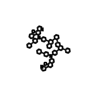 c1ccc(-c2ccc(N(c3ccc(-c4cc(-c5ccccc5)cc5cc(-c6ccccc6-c6cc(-c7ccc(N(c8ccc(-c9ccccc9)cc8)c8cc9ncccc9c9oc%10ccccc%10c89)cc7)c7ccccc7c6)ccc45)cc3)c3ccc4ccc5c6cccnc6oc5c4c3)cc2)cc1